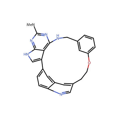 CNc1nc2c3c(c[nH]c3n1)-c1ccc3ncc(cc3c1)CCOc1cccc(c1)CN2